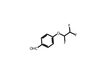 O=Cc1ccc(OC(F)C(F)F)cc1